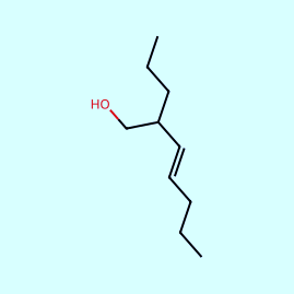 CCCC=CC(CO)CCC